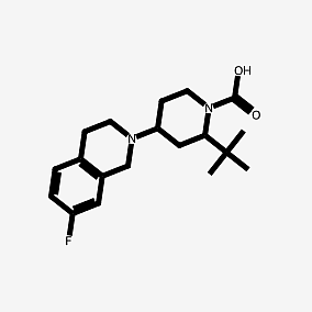 CC(C)(C)C1CC(N2CCc3ccc(F)cc3C2)CCN1C(=O)O